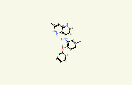 Cc1ccc(Oc2ccccc2)c(Nc2ccnc3cc(C)cnc23)c1